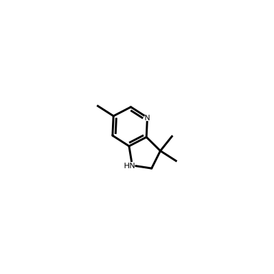 Cc1cnc2c(c1)NCC2(C)C